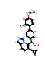 COc1ccc(C2CCC(C(O)c3c(C4CC4)ccc4cncn34)CC2)c(Cl)c1